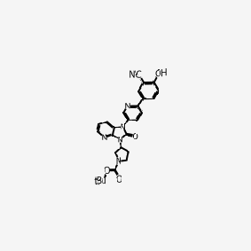 CC(C)(C)OC(=O)N1CC[C@H](n2c(=O)n(-c3ccc(-c4ccc(O)c(C#N)c4)nc3)c3cccnc32)C1